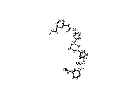 C/N=C/c1ccnc(CC(=O)Nc2nnc([C@H]3CCC[C@H](c4nnc(NC(=O)Cc5cc(C#N)ccn5)s4)C3)s2)c1